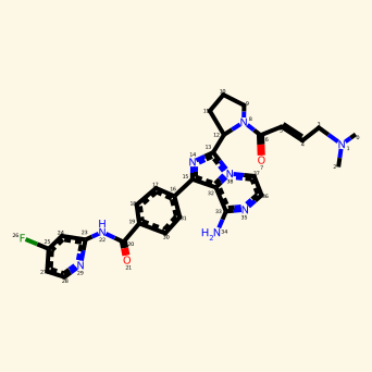 CN(C)C/C=C/C(=O)N1CCCC1c1nc(-c2ccc(C(=O)Nc3cc(F)ccn3)cc2)c2c(N)nccn12